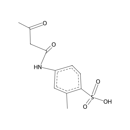 CC(=O)CC(=O)Nc1ccc(S(=O)(=O)O)c(C)c1